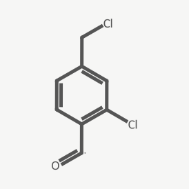 O=[C]c1ccc(CCl)cc1Cl